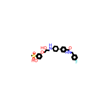 CS(=O)(=O)c1cc(OC[C@@H](O)CN[C@H]2CC[C@H](c3ccc(C(=O)NCc4ccc(F)cc4)cc3)CC2)ccc1O